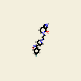 Cn1cc2c(c1)C(=O)N(CCCN1CCC(c3noc4cc(F)ccc34)CC1)CCC2